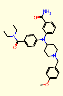 CCN(CC)C(=O)c1ccc(N(c2cccc(C(N)=O)c2)C2CCN(Cc3ccc(OC)cc3)CC2)cc1